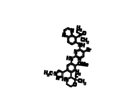 COc1cc(C2NCCOC2(C)C)c(-c2cnn(C)c2)cc1Nc1ncc(Br)c(Nc2ccc3nccnc3c2P(C)(C)=O)n1